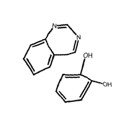 Oc1ccccc1O.c1ccc2ncncc2c1